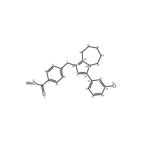 COC(=O)c1ccc(C[n+]2cc(-c3cccc(Cl)c3)n3c2CCCCC3)cc1